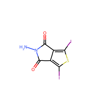 NN1C(=O)c2c(I)sc(I)c2C1=O